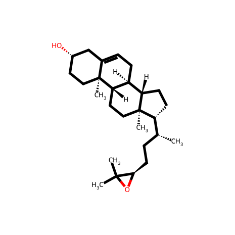 C[C@H](CC[C@H]1OC1(C)C)[C@H]1CC[C@H]2[C@@H]3CC=C4C[C@@H](O)CC[C@]4(C)[C@H]3CC[C@]12C